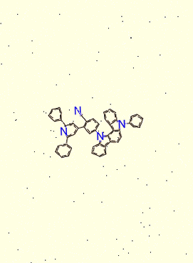 N#Cc1ccc(-n2c3ccccc3c3ccc4c(c5ccccc5n4-c4ccccc4)c32)cc1-c1cc(-c2ccccc2)nc(-c2ccccc2)c1